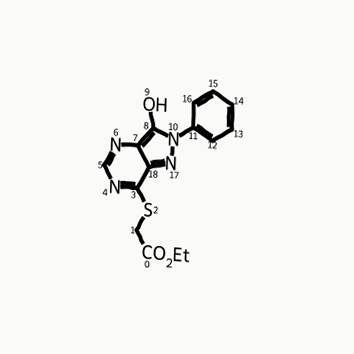 CCOC(=O)CSc1ncnc2c(O)n(-c3ccccc3)nc12